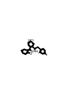 Cl.NC(Cc1ccc(F)cc1)c1ccccc1-c1noc2ccccc12